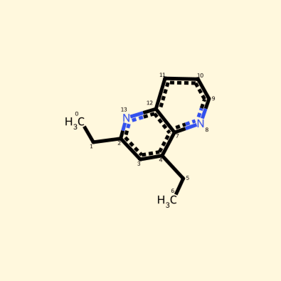 CCc1cc(CC)c2ncccc2n1